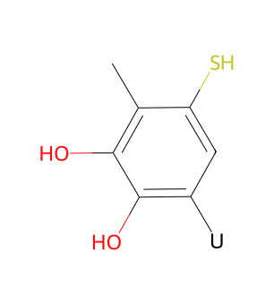 Cc1c(S)c[c]([U])c(O)c1O